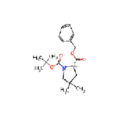 CC1(C)C[C@@H](C(=O)OCc2ccccc2)N(C(=O)OC(C)(C)C)C1